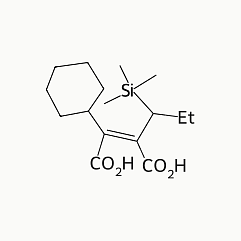 CCC(C(C(=O)O)=C(C(=O)O)C1CCCCC1)[Si](C)(C)C